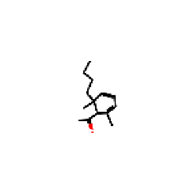 CCCCC1(C)C=CC=C(C)C1C(C)=O